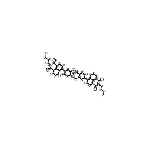 CCCCN1C(=O)c2cccc3c(-c4ccc5c(c4)CN4CN5Cc5cc(-c6ccc7c8c(cccc68)C(=O)N(CCCC)C7=O)ccc54)ccc(c23)C1=O